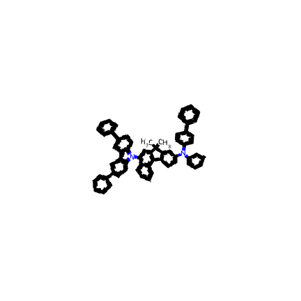 CC1(C)c2cc(N(c3ccccc3)c3ccc(-c4ccccc4)cc3)ccc2-c2c1cc(-n1c3ccc(-c4ccccc4)cc3c3cc(-c4ccccc4)ccc31)c1ccccc21